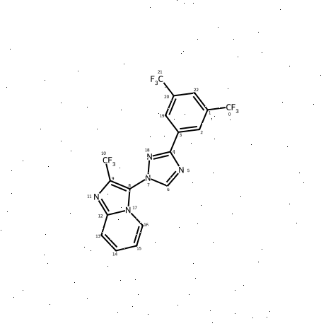 FC(F)(F)c1cc(-c2ncn(-c3c(C(F)(F)F)nc4ccccn34)n2)cc(C(F)(F)F)c1